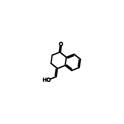 O=C1CCC(=CO)c2ccccc21